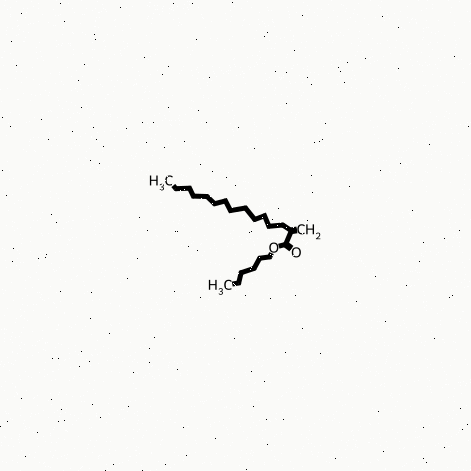 C=C(CCCCCCCCCCCCC)C(=O)OCCCCCC